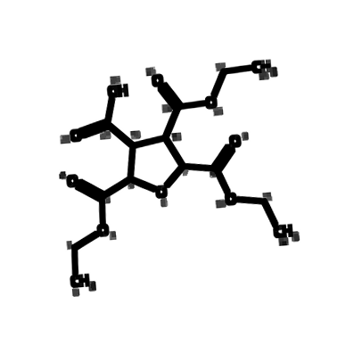 CCOC(=O)C1OC(C(=O)OCC)C(C(=O)OCC)C1C(=O)O